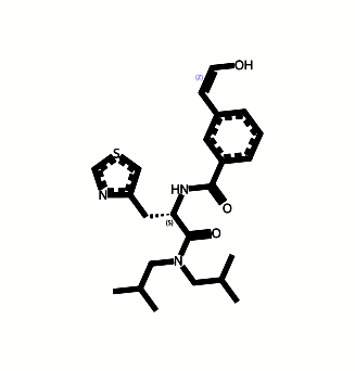 CC(C)CN(CC(C)C)C(=O)[C@H](Cc1cscn1)NC(=O)c1cccc(/C=C\O)c1